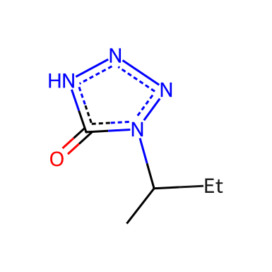 CCC(C)n1nn[nH]c1=O